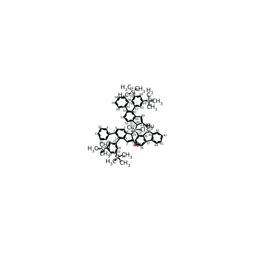 CCC(C)C1=Cc2c(ccc(-c3ccccc3)c2-c2cc([Si](C)(C)C)cc([Si](C)(C)C)c2)[CH]1[Zr]([Cl])([Cl])([c]1cccc2c1[SiH2]c1ccccc1-2)[CH]1C(C(C)CC)=Cc2c1ccc(-c1ccccc1)c2-c1cc([Si](C)(C)C)cc([Si](C)(C)C)c1